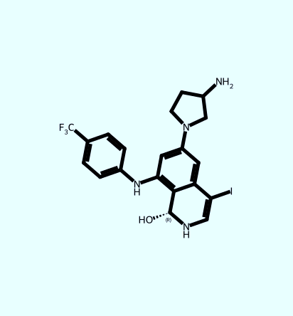 NC1CCN(c2cc(Nc3ccc(C(F)(F)F)cc3)c3c(c2)C(I)=CN[C@@H]3O)C1